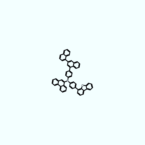 c1ccc2c(-c3cc(-c4ccc(N(c5ccc(-c6cccc7c6oc6ccccc67)cc5)c5cc6ccccc6c6ccccc56)cc4)c4ccccc4c3)cccc2c1